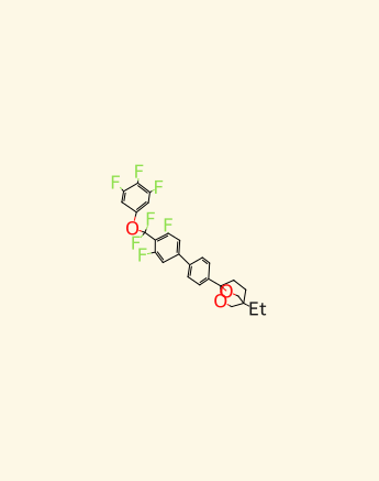 CCC12CCC(c3ccc(-c4cc(F)c(C(F)(F)Oc5cc(F)c(F)c(F)c5)c(F)c4)cc3)(OC1)OC2